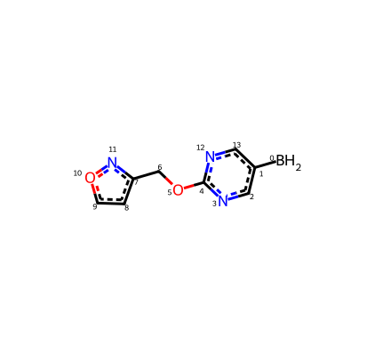 Bc1cnc(OCc2ccon2)nc1